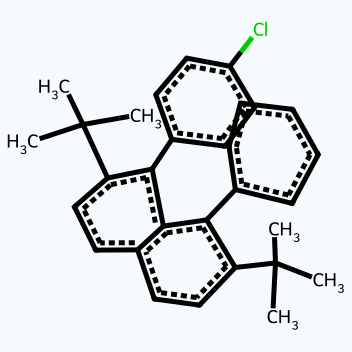 CC(C)(C)c1ccc2ccc(C(C)(C)C)c(-c3ccc(Cl)cc3)c2c1-c1ccccc1